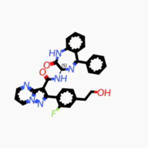 O=C(N[C@H]1N=C(c2ccccc2)c2ccccc2NC1=O)c1c(-c2ccc(CCO)cc2F)nn2cccnc12